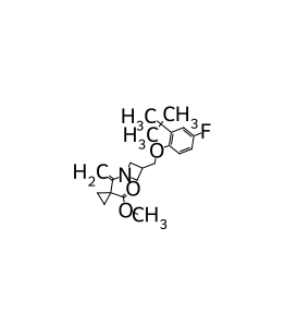 C=C(N1CC(COc2ccc(F)cc2C(C)(C)C)C1)C1(C(=O)OC)CC1